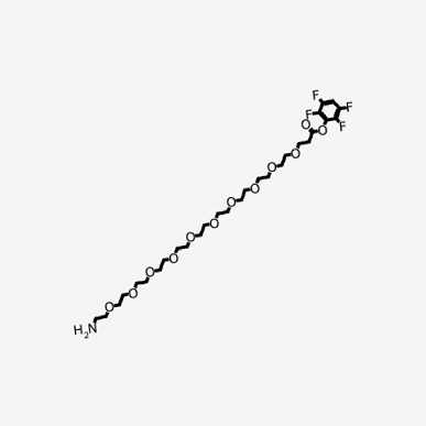 NCCOCCOCCOCCOCCOCCOCCOCCOCCOCCOCCC(=O)Oc1c(F)c(F)cc(F)c1F